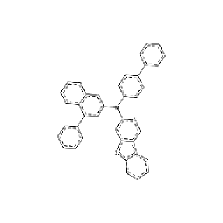 c1ccc(-c2ccc(N(c3cc(-c4ccccc4)c4ccccc4c3)c3cc4sc5ccccc5c4cn3)cc2)cc1